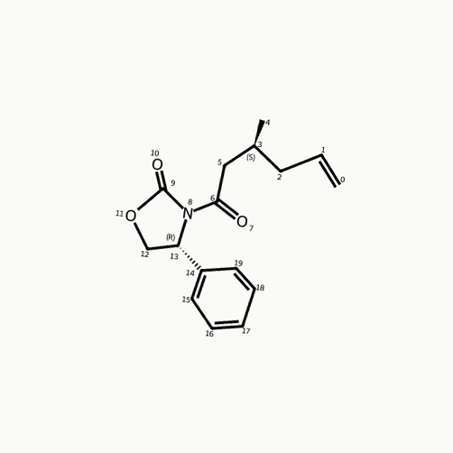 C=CC[C@H](C)CC(=O)N1C(=O)OC[C@H]1c1ccccc1